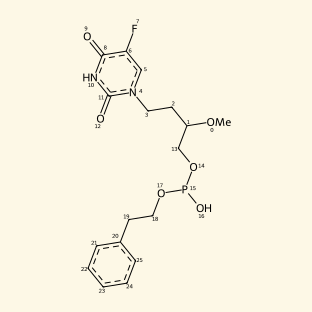 COC(CCn1cc(F)c(=O)[nH]c1=O)COP(O)OCCc1ccccc1